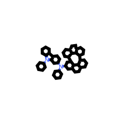 c1ccc(N(c2cc3ccc4cccc5c6cccc7ccc8cccc(c(c2)c3c45)c8c76)c2ccc3c4ccccc4n(-c4ccccc4)c3c2)cc1